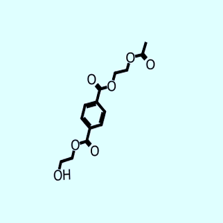 CC(=O)OCCOC(=O)c1ccc(C(=O)OCCO)cc1